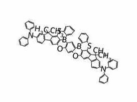 CC1(C)c2cc(N(c3ccccc3)c3ccccc3)ccc2-c2cc3c4c(c21)Sc1ccccc1B4c1cc2c(cc1O3)Oc1cc3c(c4c1B2c1ccccc1S4)C(C)(C)c1cc(N(c2ccccc2)c2ccccc2)ccc1-3